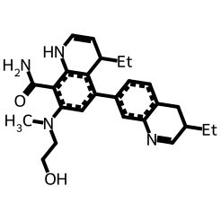 CCC1C=Nc2cc(-c3cc(N(C)CCO)c(C(N)=O)c4c3C(CC)C=CN4)ccc2C1